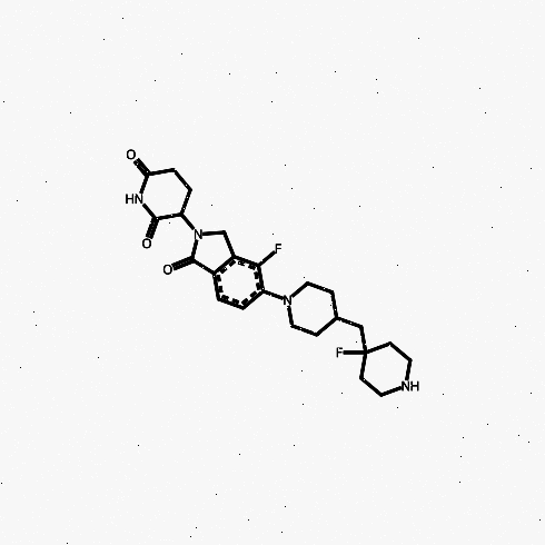 O=C1CCC(N2Cc3c(ccc(N4CCC(CC5(F)CCNCC5)CC4)c3F)C2=O)C(=O)N1